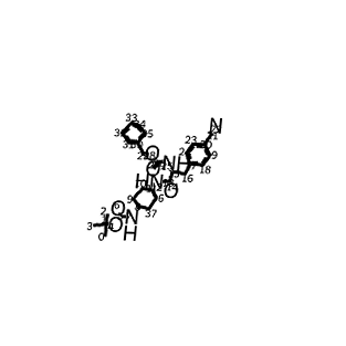 CC(C)(C)OC(=O)NC1CCC(NC(=O)C(Cc2ccc(C#N)cc2)NC(=O)OCc2ccccc2)CC1